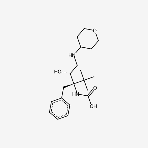 CC(C)(C)[C@](Cc1ccccc1)(NC(=O)O)[C@H](O)CNC1CCOCC1